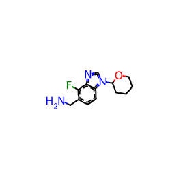 NCc1ccc2c(ncn2C2CCCCO2)c1F